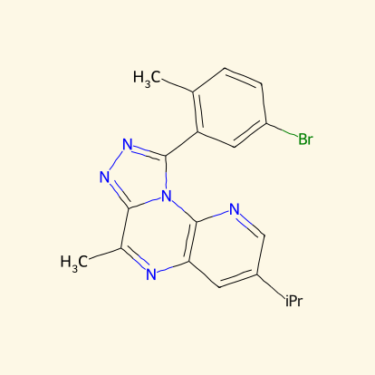 Cc1ccc(Br)cc1-c1nnc2c(C)nc3cc(C(C)C)cnc3n12